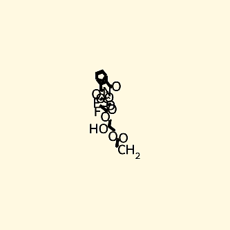 C=CC(=O)OCC(O)COC(=O)C(F)(F)S(=O)(=O)ON1C(=O)C2C3C=CC(C3)C2C1=O